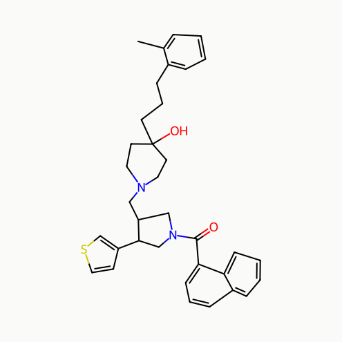 Cc1ccccc1CCCC1(O)CCN(CC2CN(C(=O)c3cccc4ccccc34)CC2c2ccsc2)CC1